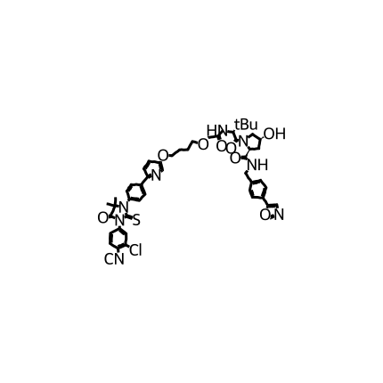 CC(C)(C)[C@H](NC(=O)COCCCCOc1ccc(-c2ccc(N3C(=S)N(c4ccc(C#N)c(Cl)c4)C(=O)C3(C)C)cc2)nc1)C(=O)N1C[C@H](O)C[C@H]1C(=O)NCc1ccc(-c2cnco2)cc1